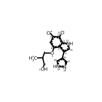 CC(CO)COc1cc(Cl)c(Cl)c2[nH]cc(-c3cn[nH]c3)c12